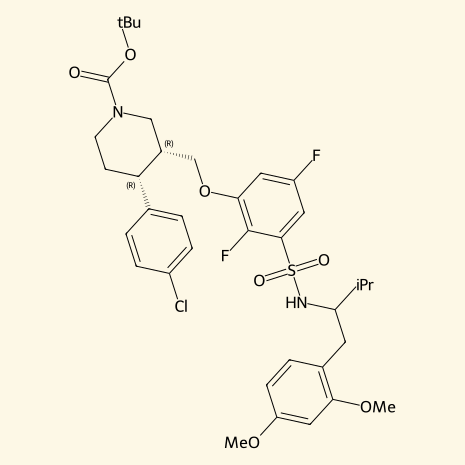 COc1ccc(CC(NS(=O)(=O)c2cc(F)cc(OC[C@H]3CN(C(=O)OC(C)(C)C)CC[C@H]3c3ccc(Cl)cc3)c2F)C(C)C)c(OC)c1